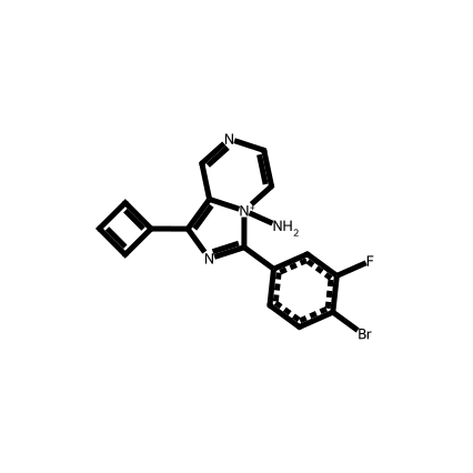 N[N+]12C=CN=CC1=C(C1=CC=C1)N=C2c1ccc(Br)c(F)c1